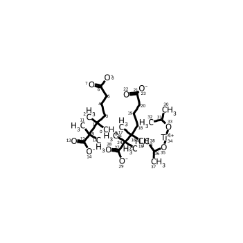 CC(C)(CCCC(=O)[O-])C(C)(C)C(=O)[O-].CC(C)(CCCC(=O)[O-])C(C)(C)C(=O)[O-].CC(C)[O][Ti+4][O]C(C)C